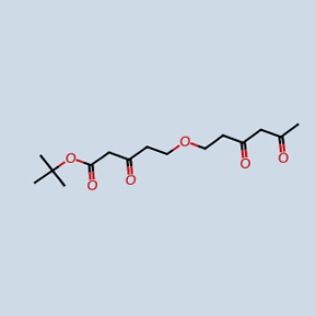 CC(=O)CC(=O)CCOCCC(=O)CC(=O)OC(C)(C)C